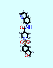 O=C(Nc1ccc2cccnc2c1)C1CCN(S(=O)(=O)c2ccc3c(c2)CCO3)CC1